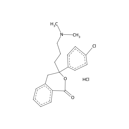 CN(C)CCCC1(c2ccc(Cl)cc2)Cc2ccccc2C(=O)O1.Cl